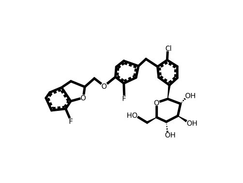 OC[C@H]1O[C@@H](c2ccc(Cl)c(Cc3ccc(OCC4Cc5cccc(F)c5O4)c(F)c3)c2)[C@H](O)[C@@H](O)[C@@H]1O